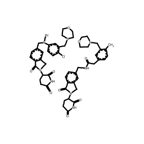 CC(=O)N(Cc1ccc2c(c1)CN(C1CCC(=O)NC1=O)C2=O)c1ccc(Cl)c(CN2CCOCC2)c1.Cc1ccc(CC(=O)NCc2ccc3c(c2)CN(C2CCC(=O)NC2=O)C3=O)cc1CN1CCOCC1